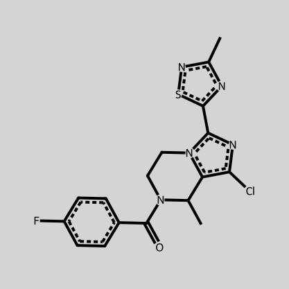 Cc1nsc(-c2nc(Cl)c3n2CCN(C(=O)c2ccc(F)cc2)C3C)n1